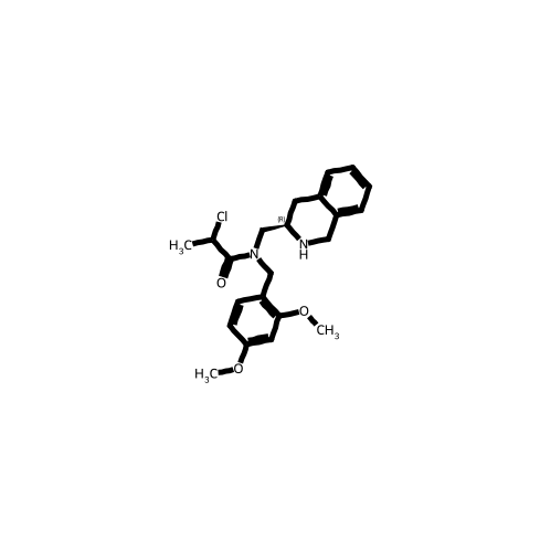 COc1ccc(CN(C[C@H]2Cc3ccccc3CN2)C(=O)C(C)Cl)c(OC)c1